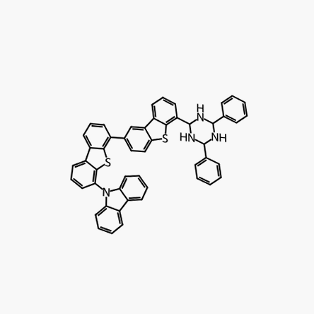 c1ccc(C2NC(c3ccccc3)NC(c3cccc4c3sc3ccc(-c5cccc6c5sc5c(-n7c8ccccc8c8ccccc87)cccc56)cc34)N2)cc1